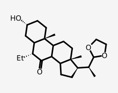 CC[C@H]1C(=O)C2C(CC[C@@]3(C)C2CC[C@@H]3[C@H](C)C2OCCO2)[C@@]2(C)CC[C@@H](O)CC12